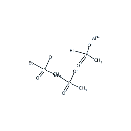 CCP(C)(=O)[O-].CCP(C)(=O)[O-].CCP(C)(=O)[O-].[Al+3]